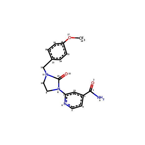 NC(=O)c1ccnc(N2CCN(Cc3ccc(OC(F)(F)F)cc3)C2=O)c1